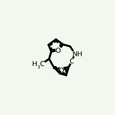 CC1c2ccc(o2)CNCc2ccc1o2